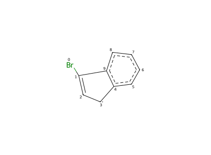 BrC1=C[CH]c2ccccc21